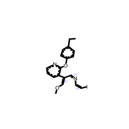 CCc1ccc(Oc2ncccc2C(/C=N\C=C/I)=C\OC)cc1